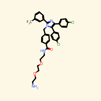 NCCOCCOCCNC(=O)c1ccc(Cn2c(-c3cccc(C(F)(F)F)c3)nc(-c3ccc(Cl)cc3)c2-c2ccc(Cl)cc2)cc1